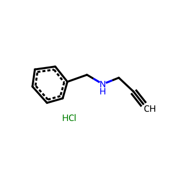 C#CCNCc1ccccc1.Cl